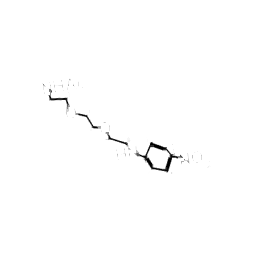 CC(=O)NCCOCCOCCNc1ccc([N+](=O)[O-])cc1